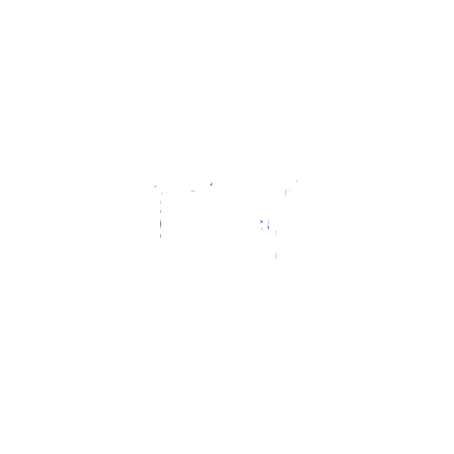 F[N+](F)C1CCCC1